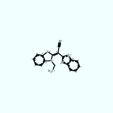 CCN1/C(=C(/C#N)c2nc3ccccc3s2)Sc2ccccc21